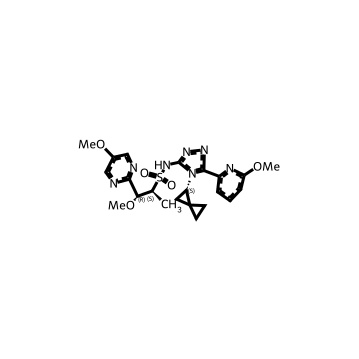 COc1cnc([C@@H](OC)[C@H](C)S(=O)(=O)Nc2nnc(-c3cccc(OC)n3)n2[C@H]2CC23CC3)nc1